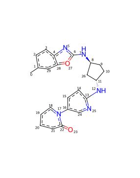 Cc1ccc2nc(N[C@H]3CC[C@H](Nc4ccc(-n5ccccc5=O)cn4)C3)oc2c1